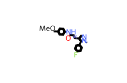 COCc1ccc(NC(=O)/C=C/c2cnn(C)c2-c2ccc(F)cc2)cc1